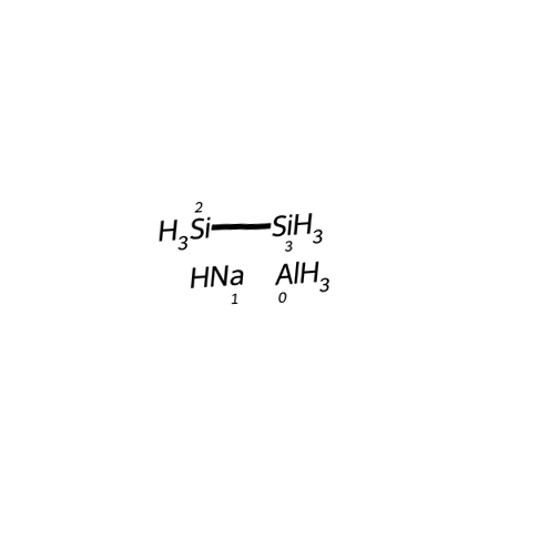 [AlH3].[NaH].[SiH3][SiH3]